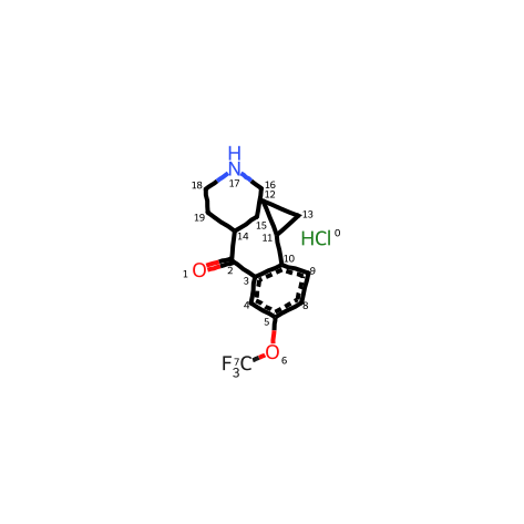 Cl.O=C(c1cc(OC(F)(F)F)ccc1C1CC1)C1CCNCC1